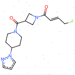 O=C(C=CCF)N1CC(C(=O)N2CCC(n3cccn3)CC2)C1